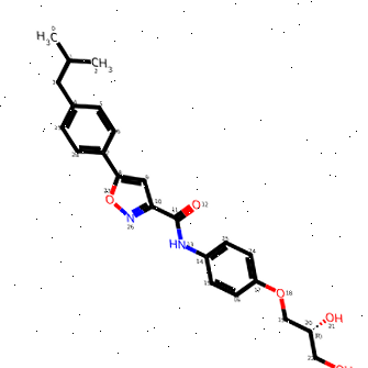 CC(C)Cc1ccc(-c2cc(C(=O)Nc3ccc(OC[C@H](O)CO)cc3)no2)cc1